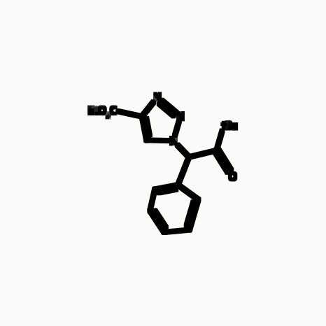 CCOC(=O)c1cn(C(C(=O)C(C)(C)C)c2ccccc2)nn1